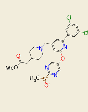 COC(=O)CC1CCN(Cc2cc(Oc3cnc([S+](C)[O-])nc3)nc(-c3cc(Cl)cc(Cl)c3)c2)CC1